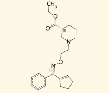 CCOC(=O)[C@@H]1CCCN(CCO/N=C(\C2=CCCC2)c2ccccc2)C1